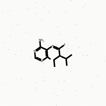 CCC(/C(F)=N\c1c(C)ncnc1N)C(C)C